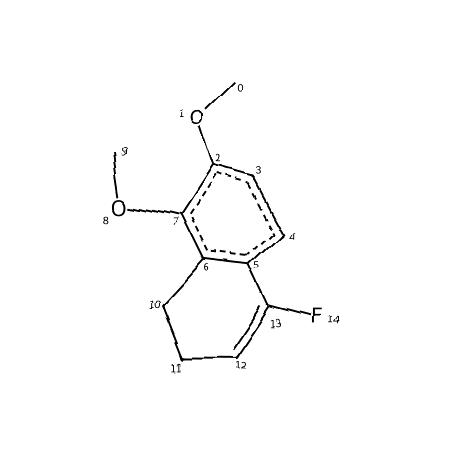 COc1ccc2c(c1OC)CCC=C2F